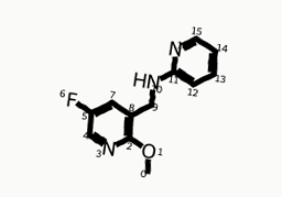 COc1ncc(F)cc1CNc1ccccn1